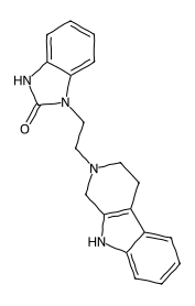 O=c1[nH]c2ccccc2n1CCN1CCc2c([nH]c3ccccc23)C1